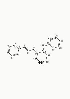 C(=C\c1ccccc1)/CC1C[N]CCN1Cc1ccccc1